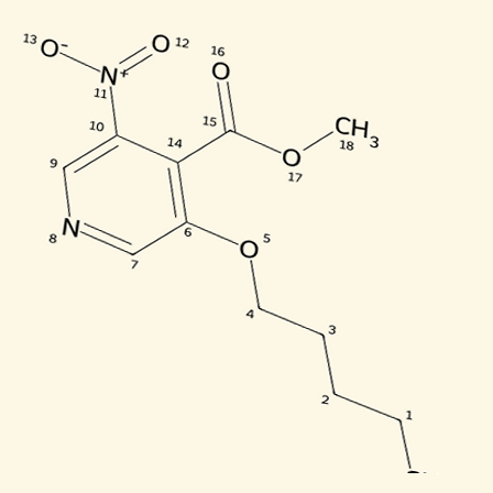 CCCCCOc1cncc([N+](=O)[O-])c1C(=O)OC